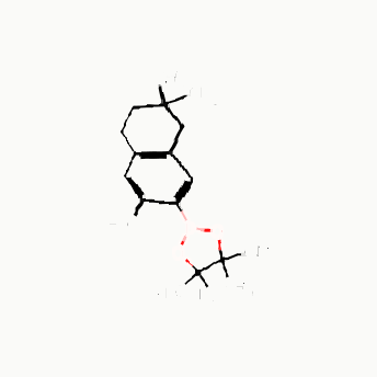 Cc1cc2c(cc1B1OC(C)(C)C(C)(C)O1)CC(C)(C)CC2